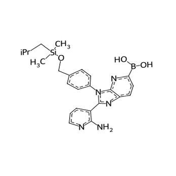 CC(C)C[Si](C)(C)OCc1ccc(-n2c(-c3cccnc3N)nc3ccc(B(O)O)nc32)cc1